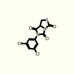 O=C1C2CSC(=O)N2C(=O)N1c1cc(Cl)cc(Cl)c1